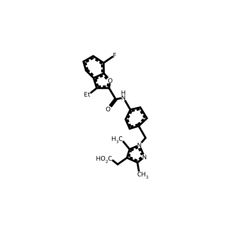 CCc1c(C(=O)Nc2ccc(Cn3nc(C)c(CC(=O)O)c3C)cc2)oc2c(F)cccc12